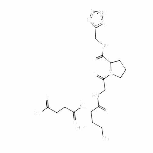 CC[C@H](C)[C@H](NC(=O)CCC(=O)O)C(=O)NCC(=O)N1CCCC1C(=O)NCc1nn[nH]n1